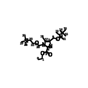 CCOC(=O)c1nc(CO[Si](C)(C)C(C)(C)C)c(C)n1COCC[Si](C)(C)C